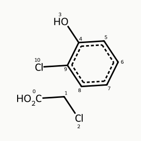 O=C(O)CCl.Oc1ccccc1Cl